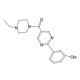 CCN1CCN(C(=O)c2cnc(-c3cccc(O)c3)nc2)CC1